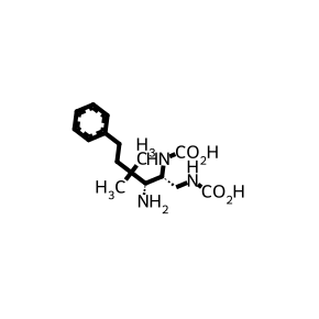 CC(C)(CCc1ccccc1)[C@@H](N)[C@@H](CNC(=O)O)NC(=O)O